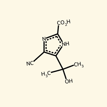 CC(C)(O)c1[nH]c(C(=O)O)nc1C#N